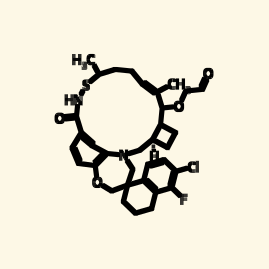 C/C1=C\CCC(C)SNC(=O)c2ccc3c(c2)N(C[C@@H]2CCC2C1OCC=O)CC1(CCCc2c1ccc(Cl)c2F)CO3